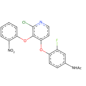 CC(=O)Nc1ccc(Oc2ccnc(Cl)c2Oc2ccccc2[N+](=O)[O-])c(F)c1